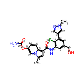 CC(=O)c1cc(C(=O)Nc2cc(CO)cc(-c3cnn(C)c3)c2F)c2ccc(OC(N)=O)cn12